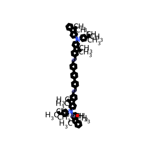 C=C/C(=C\C1=C(C)c2ccccc2C1(C)C)N(c1ccc(C(C)(C)C)cc1)c1ccc2c(c1)C(C)(C)c1cc(/C=C/c3ccc(-c4ccc(-c5ccc(/C=C/c6ccc7c(c6)C(C)(C)c6cc(N(c8ccc(C(C)(C)C)cc8)c8ccc9c(c8)C(C)(C)c8ccccc8-9)ccc6-7)cc5)cc4)cc3)ccc1-2